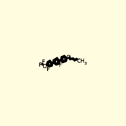 CCCCCOc1ccc(-c2ccc(-c3ccc(OC(F)F)c(F)c3)cc2F)cc1